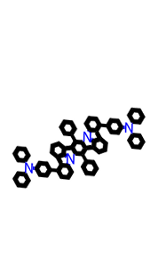 c1ccc(-c2c3c4cccc5c6c(-c7ccc(N(c8ccccc8)c8ccccc8)cc7)cccc6n(c3c(-c3ccccc3)c3c6cccc7c8c(-c9ccc(N(c%10ccccc%10)c%10ccccc%10)cc9)cccc8n(c23)c76)c54)cc1